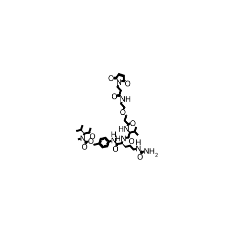 CC(=O)[C@H](C(C)C)N(C)C(=O)OCc1ccc(NC(=O)[C@H](CCCNC(N)=O)NC(=O)[C@@H](NC(=O)CCOCCNC(=O)CCN2C(=O)C=CC2=O)C(C)C)cc1